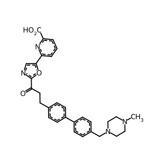 CN1CCN(Cc2ccc(-c3ccc(CCC(=O)c4ncc(-c5cccc(C(=O)O)n5)o4)cc3)cc2)CC1